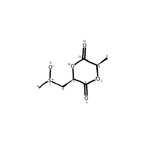 C[C@H]1OC(=O)[C@@H](C[S+](C)[O-])OC1=O